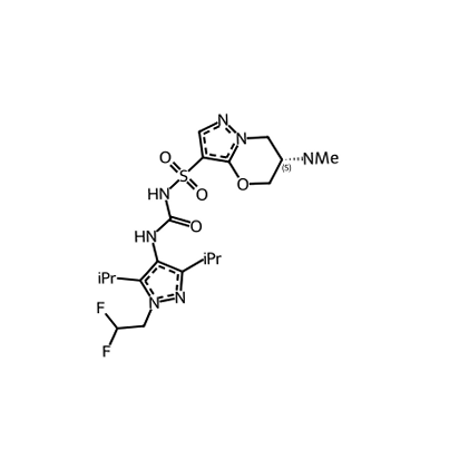 CN[C@@H]1COc2c(S(=O)(=O)NC(=O)Nc3c(C(C)C)nn(CC(F)F)c3C(C)C)cnn2C1